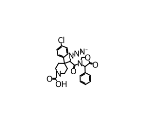 [N-]=[N+]=NC(C(=O)N1COC(=O)C1c1ccccc1)C1(c2ccc(Cl)cc2)CCN(C(=O)O)CC1